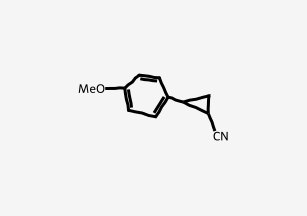 COc1ccc(C2CC2C#N)cc1